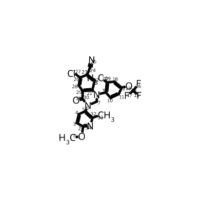 COc1ccc(N2CN(c3ccc(OC(F)(F)F)cc3C)c3cc(C#N)c(Cl)cc3C2=O)c(C)n1